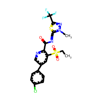 CCS(=O)(=O)c1cc(-c2ccc(Cl)cc2)cnc1C(=O)/N=c1\sc(C(F)(F)F)nn1C